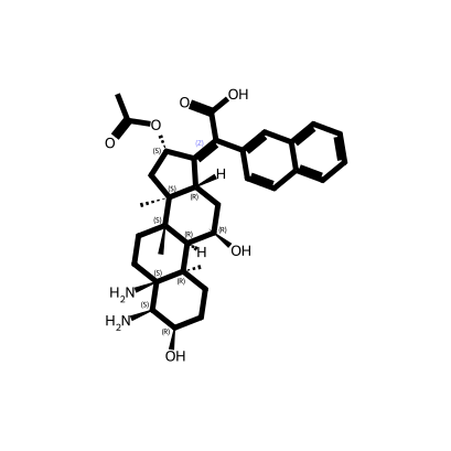 CC(=O)O[C@H]1C[C@@]2(C)[C@@H](C[C@@H](O)[C@@H]3[C@]2(C)CC[C@@]2(N)[C@H](N)[C@H](O)CC[C@]32C)/C1=C(/C(=O)O)c1ccc2ccccc2c1